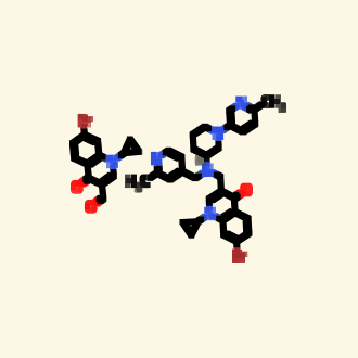 Cc1ccc(N2CCC[C@H](N(Cc3ccnc(C)c3)Cc3cn(C4CC4)c4cc(Br)ccc4c3=O)C2)cn1.O=Cc1cn(C2CC2)c2cc(Br)ccc2c1=O